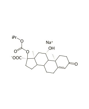 CC(C)OC(=O)O[C@]1(C(=O)[O-])CCC2C3CCC4=CC(=O)CC[C@]4(C)C3[C@@H](O)C[C@@]21C.[Na+]